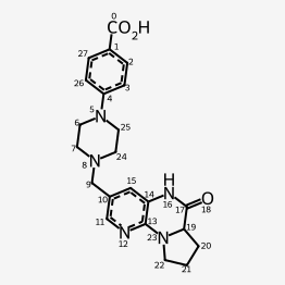 O=C(O)c1ccc(N2CCN(Cc3cnc4c(c3)NC(=O)C3CCCN43)CC2)cc1